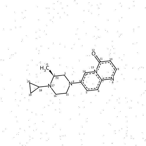 C[C@H]1CN(c2ccc3nccc(=O)n3c2)CCN1C1CC1